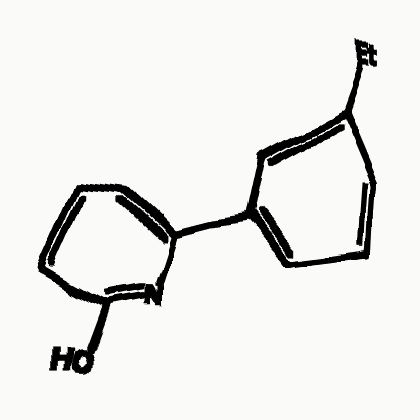 CCc1cccc(-c2cccc(O)n2)c1